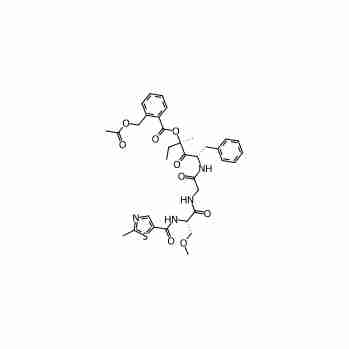 CC[C@@](C)(OC(=O)c1ccccc1COC(C)=O)C(=O)[C@H](Cc1ccccc1)NC(=O)CNC(=O)[C@H](COC)NC(=O)c1cnc(C)s1